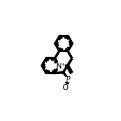 C=C1C2c3ccccc3-c3cccc([n+]31)C2P=O